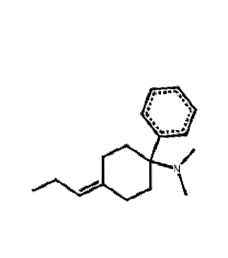 CCC=C1CCC(c2ccccc2)(N(C)C)CC1